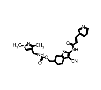 Cc1nn(C)cc1CNC(=O)OCC1CCc2c(sc(NC(=O)/C=C/c3cccnc3)c2C#N)C1